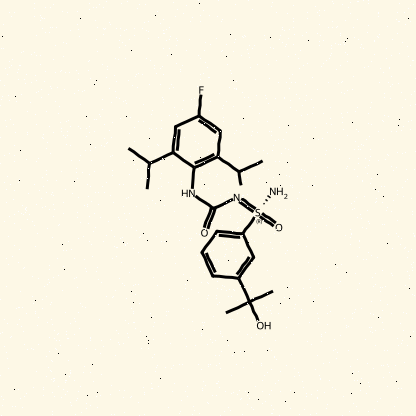 CC(C)c1cc(F)cc(C(C)C)c1NC(=O)N=[S@@](N)(=O)c1cccc(C(C)(C)O)c1